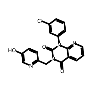 O=c1c2cccnc2n(-c2cccc(Cl)c2)c(=O)n1Cc1ccc(O)cn1